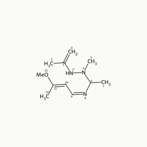 C=C(C)NN(C)C(C)/N=C\C=C(/C)OC